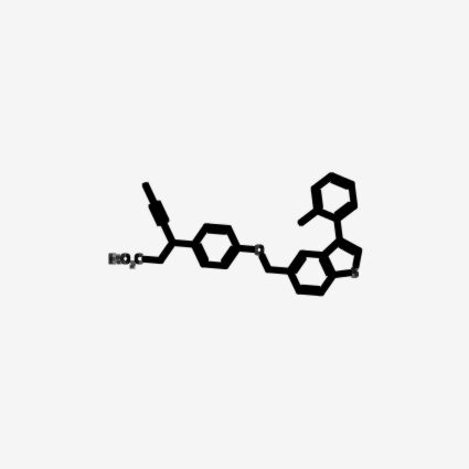 CC#CC(CC(=O)OCC)c1ccc(OCc2ccc3scc(-c4ccccc4C)c3c2)cc1